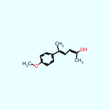 COc1ccc(/C(C)=C/C=C(\C)O)cc1